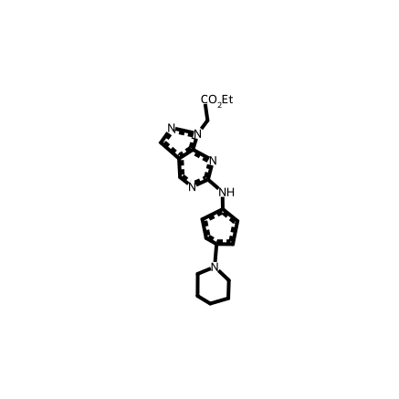 CCOC(=O)Cn1ncc2cnc(Nc3ccc(N4CCCCC4)cc3)nc21